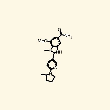 COc1cc(C(N)=O)cc2c1N(C)C(c1ccc(N3CCCC3C)nc1)N2